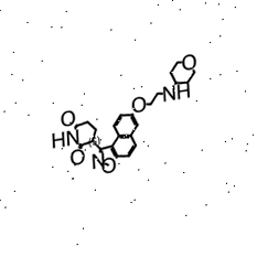 O=C1CC[C@@H](c2noc3ccc4cc(OCCNC5CCOCC5)ccc4c23)C(=O)N1